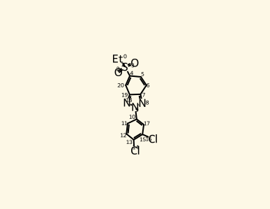 CCS(=O)(=O)c1ccc2nn(-c3ccc(Cl)c(Cl)c3)nc2c1